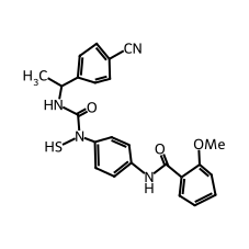 COc1ccccc1C(=O)Nc1ccc(N(S)C(=O)NC(C)c2ccc(C#N)cc2)cc1